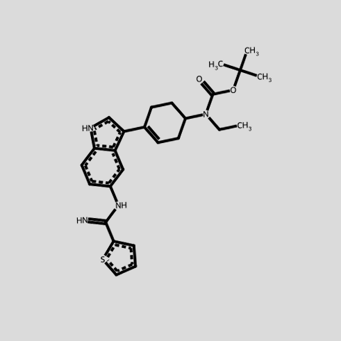 CCN(C(=O)OC(C)(C)C)C1CC=C(c2c[nH]c3ccc(NC(=N)c4cccs4)cc23)CC1